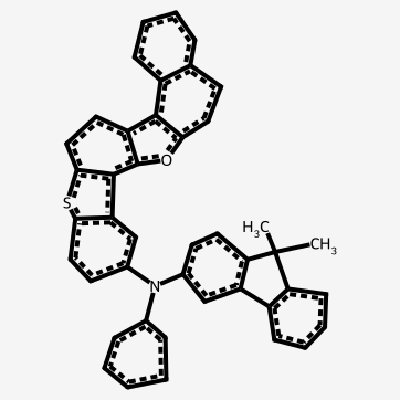 CC1(C)c2ccccc2-c2cc(N(c3ccccc3)c3ccc4sc5ccc6c(oc7ccc8ccccc8c76)c5c4c3)ccc21